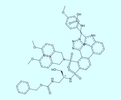 COc1ccc(CN(Cc2ccc(OC)cc2)S(=O)(=O)c2c(S(=O)(=O)N[C@H](CO)CNC(=O)OCc3ccccc3)ccc(-c3cccc4[nH]c(CNC(=O)O)nc34)c2-c2nnn(Cc3ccc(OC)cc3)n2)cc1